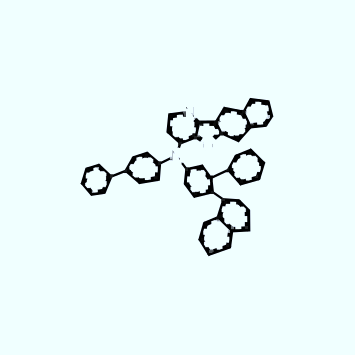 c1ccc(-c2ccc(N(c3ccc(-c4cccc5ccccc45)c(-c4ccccc4)c3)c3ccnc4c3oc3cc5ccccc5cc34)cc2)cc1